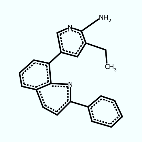 CCc1cc(-c2cccc3ccc(-c4ccccc4)nc23)cnc1N